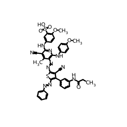 CCC(=O)Nc1cccc(-c2c(N=Nc3ccccc3)sc(N=Nc3c(Nc4ccc(OC)cc4)nc(Nc4ccc(OC)c(S(=O)(=O)O)c4)c(C#N)c3C)c2C#N)c1